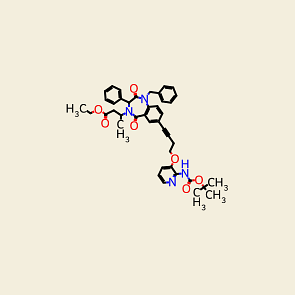 CCOC(=O)CC(C)N1C(=O)c2cc(C#CCCOc3cccnc3NC(=O)OC(C)(C)C)ccc2N(Cc2ccccc2)C(=O)C1c1ccccc1